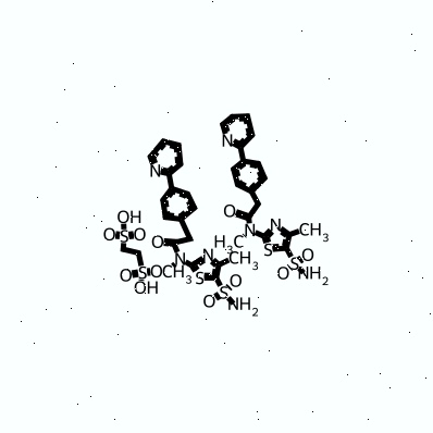 Cc1nc(N(C)C(=O)Cc2ccc(-c3ccccn3)cc2)sc1S(N)(=O)=O.Cc1nc(N(C)C(=O)Cc2ccc(-c3ccccn3)cc2)sc1S(N)(=O)=O.O=S(=O)(O)CCS(=O)(=O)O